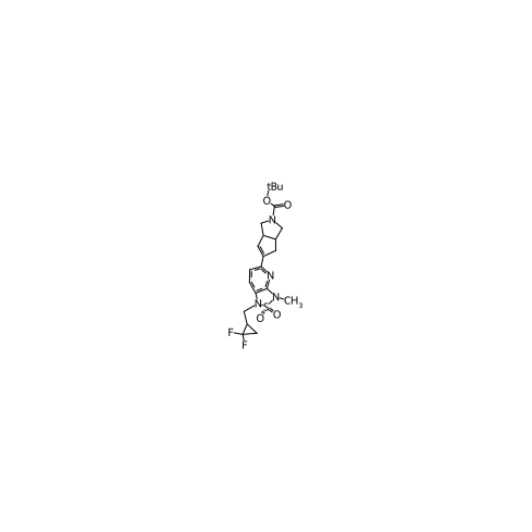 CN1c2nc(C3=CC4CN(C(=O)OC(C)(C)C)CC4C3)ccc2N(CC2CC2(F)F)S1(=O)=O